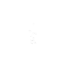 CC[C@@H]1C[C@@H]([C@@H](N)CN2CC(=O)N(c3ccccc3Cl)CC2(C)C)OC1=O